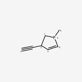 C#CC1C=CP(C)C1